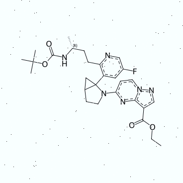 CCOC(=O)c1cnn2ccc(N3CCC4CC43c3cc(F)cnc3CC[C@@H](C)NC(=O)OC(C)(C)C)nc12